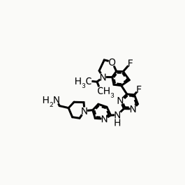 CC(C)N1CCOc2c(F)cc(-c3nc(Nc4ccc(N5CCC(CN)CC5)cn4)ncc3F)cc21